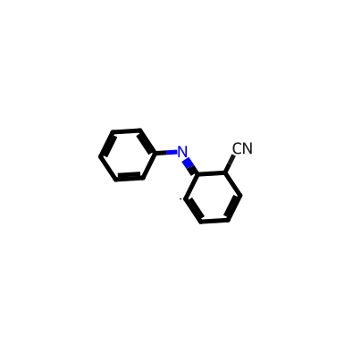 N#CC1C=CC=[C]C1=Nc1ccccc1